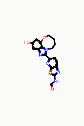 O=CNc1nc2ccc(-c3nc4cc(O)cc5c4n3CCCCO5)nc2s1